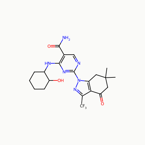 CC1(C)CC(=O)c2c(C(F)(F)F)nn(-c3ncc(C(N)=O)c(NC4CCCCC4O)n3)c2C1